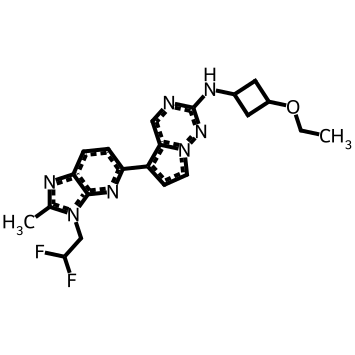 CCOC1CC(Nc2ncc3c(-c4ccc5nc(C)n(CC(F)F)c5n4)ccn3n2)C1